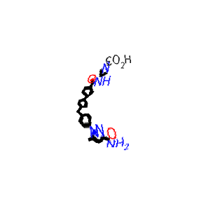 Cc1cc(C(N)=O)nn1-c1ccc(Cc2ccc(-c3ccc(C(=O)NC4CN(C(=O)O)C4)cc3)cc2)cc1